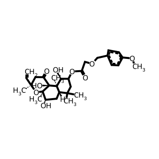 C=C[C@@]1(C)CC(=O)[C@]2(O)[C@@]3(C)[C@@H](O)C(OC(=O)COCc4ccc(OC)cc4)CC(C)(C)[C@@H]3C[C@H](O)[C@@]2(C)O1